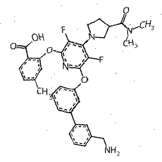 Cc1ccc(C(=O)O)c(Oc2nc(Oc3cccc(-c4cccc(CN)c4)c3)c(F)c(N3CCC(C(=O)N(C)C)C3)c2F)c1